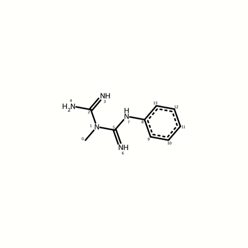 CN(C(=N)N)C(=N)Nc1ccccc1